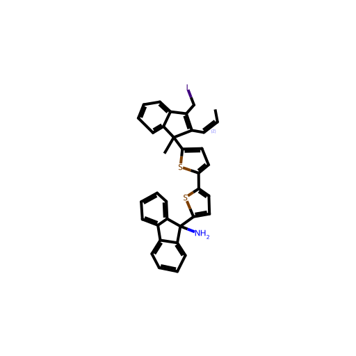 C/C=C\C1=C(CI)c2ccccc2C1(C)c1ccc(-c2ccc(C3(N)c4ccccc4-c4ccccc43)s2)s1